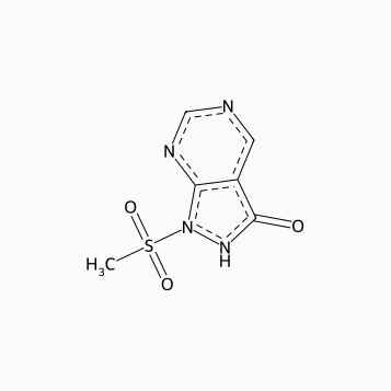 CS(=O)(=O)n1[nH]c(=O)c2cncnc21